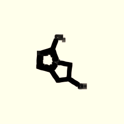 Cc1ncc2n1CC(O)C2